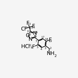 Cl.NCc1cc(F)c(-c2noc(C(F)(F)Cl)n2)cc1F